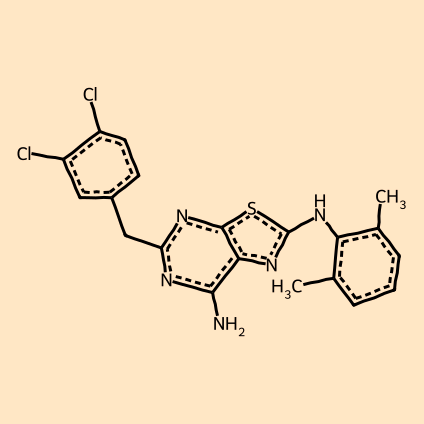 Cc1cccc(C)c1Nc1nc2c(N)nc(Cc3ccc(Cl)c(Cl)c3)nc2s1